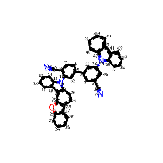 N#Cc1cc(-c2ccc(C#N)c(-n3c4ccccc4c4c5oc6ccccc6c5ccc43)c2)cc(-n2c3ccccc3c3ccccc32)c1